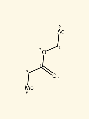 CC(=O)COC(=O)[CH2][Mo]